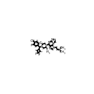 C[C@@H]1CN(c2nc3nncn3c3c2ncn3CCN(C)C)[C@@H](C)CN1C(c1ccc(Cl)c(F)c1)C1CC(F)(F)C1